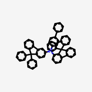 c1ccc(-c2ccc(N(c3ccc4c(c3)-c3ccccc3C4(c3ccccc3)c3ccccc3)c3cccc4c3C3(c5ccccc5-c5ccccc53)c3ccccc3-4)cc2)cc1